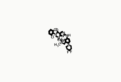 CN(C)Cc1cc(Nc2ncc3c(n2)N(C)CN(c2c(Cl)cccc2Cl)C3=O)ccc1N1CCC(F)(F)CC1